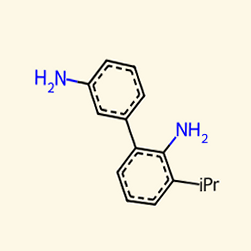 CC(C)c1cccc(-c2cccc(N)c2)c1N